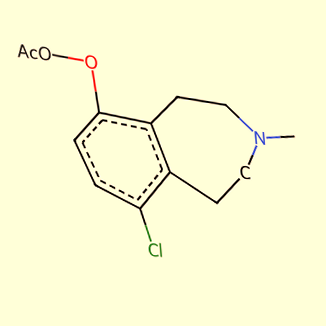 CC(=O)OOc1ccc(Cl)c2c1CCN(C)CC2